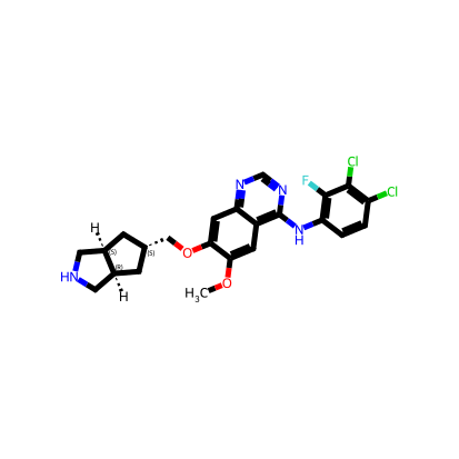 COc1cc2c(Nc3ccc(Cl)c(Cl)c3F)ncnc2cc1OC[C@@H]1C[C@H]2CNC[C@H]2C1